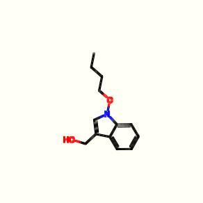 CCCCOn1cc(CO)c2ccccc21